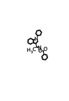 C/C(=N\OC(=O)c1ccccc1)c1cn(-c2ccccc2)c2ccccc12